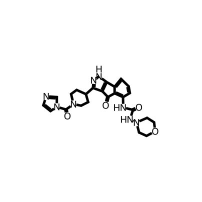 O=C(Nc1cccc2c1C(=O)c1c(C3CCN(C(=O)n4ccnc4)CC3)n[nH]c1-2)NN1CCOCC1